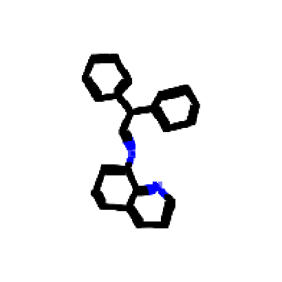 C(=Nc1cccc2cccnc12)C(c1ccccc1)c1ccccc1